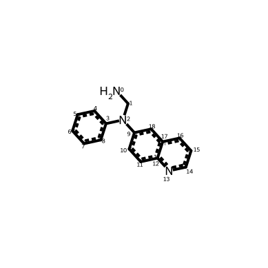 NCN(c1ccccc1)c1ccc2ncccc2c1